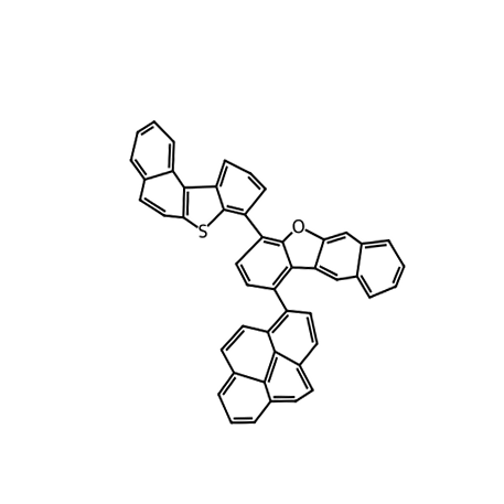 c1ccc2cc3c(cc2c1)oc1c(-c2cccc4c2sc2ccc5ccccc5c24)ccc(-c2ccc4ccc5cccc6ccc2c4c56)c13